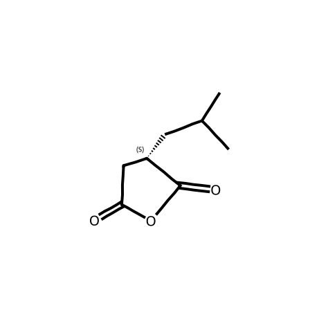 CC(C)C[C@H]1CC(=O)OC1=O